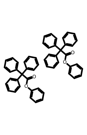 O=C(Oc1ccccc1)C(c1ccccc1)(c1ccccc1)c1ccccc1.O=C(Oc1ccccc1)C(c1ccccc1)(c1ccccc1)c1ccccc1